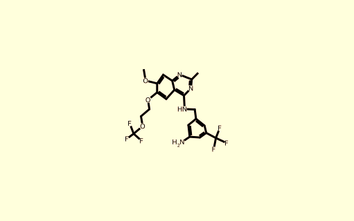 COc1cc2nc(C)nc(NCc3cc(N)cc(C(F)(F)F)c3)c2cc1OCCOC(F)(F)F